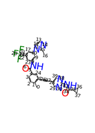 Cc1ccc(C(=O)Nc2cc(-n3ccnc3C)cc(C(F)(F)F)c2)cc1C#Cc1cnc(NC(=O)C2CC2)nc1